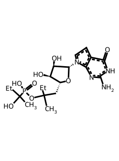 CCC(C)(C[C@H]1O[C@@H](n2ccc3c(=O)[nH]c(N)nc32)[C@H](O)[C@@H]1O)OP(=O)(O)C(C)(O)CC